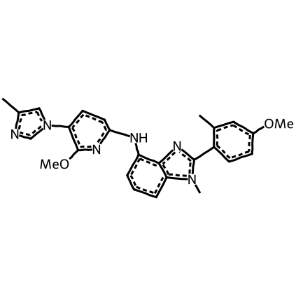 COc1ccc(-c2nc3c(Nc4ccc(-n5cnc(C)c5)c(OC)n4)cccc3n2C)c(C)c1